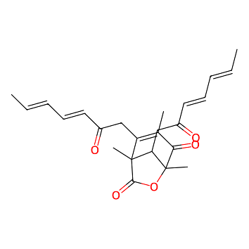 C/C=C/C=C/C(=O)CC1=C(C)C(=O)C2(C)OC(=O)C1(C)C2CC(=O)/C=C/C=C/C